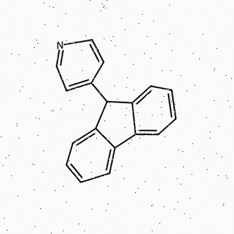 c1ccc2c(c1)-c1ccccc1C2c1ccncc1